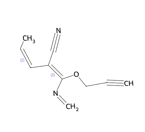 C#CCO/C(N=C)=C(C#N)/C=C\C